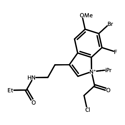 CCC(=O)NCCC1=C[N+](C(=O)CCl)(C(C)C)c2c1cc(OC)c(Br)c2F